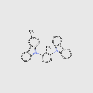 Cc1ccc2c(c1)c1ccccc1n2-c1cccc(-n2c3ccccc3c3ccccc32)c1C